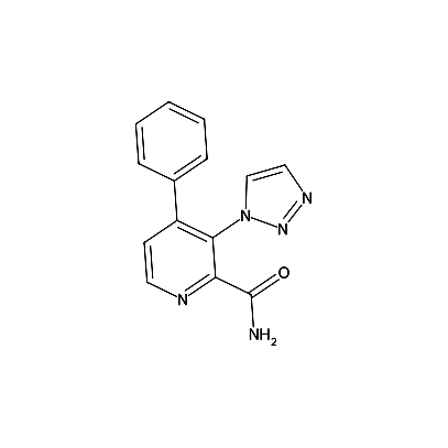 NC(=O)c1nccc(-c2ccccc2)c1-n1ccnn1